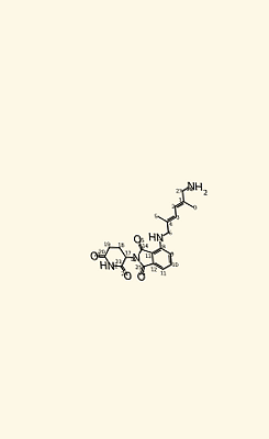 C/C(=C\C=C(/C)CNc1cccc2c1C(=O)N(C1CCC(=O)NC1=O)C2=O)CN